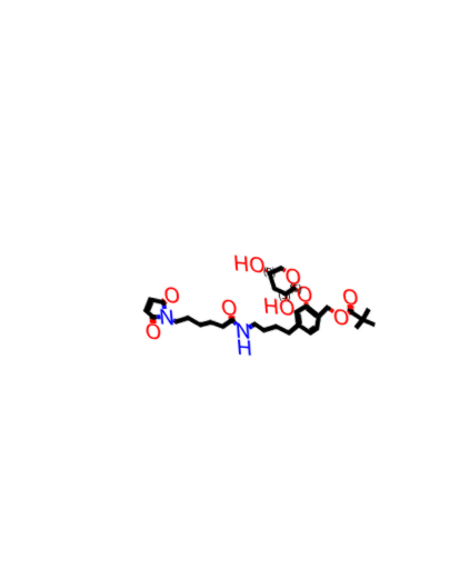 CC(C)(C)C(=O)OCc1ccc(CCCCNC(=O)CCCCCN2C(=O)C=CC2=O)cc1O[C@@H]1OC[C@H](O)C[C@@H]1O